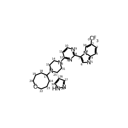 FC(F)(F)c1ccc2ncc(-c3nccc(N4CCN(C5CCCOCCC5)[C@@H](c5cn[nH]c5)C4)n3)n2c1